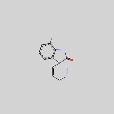 Cl.O=C1Nc2c(Cl)cccc2[C@]12C=CCNC2